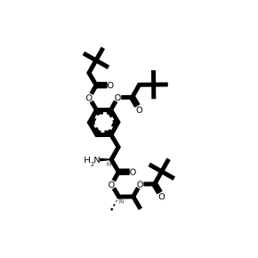 CC(OC(=O)C(C)(C)C)[C@H](C)OC(=O)[C@@H](N)Cc1ccc(OC(=O)CC(C)(C)C)c(OC(=O)CC(C)(C)C)c1